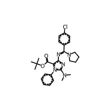 CN(C)c1nc(N=C(c2ccc(Cl)cc2)N2CCCC2)c(C(=O)OC(C)(C)C)n1-c1ccccc1